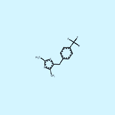 Cc1nc(C)c(Cc2ccc(C(F)(F)F)cc2)s1